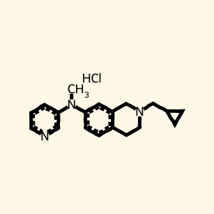 CN(c1cccnc1)c1ccc2c(c1)CN(CC1CC1)CC2.Cl